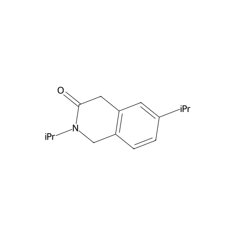 CC(C)c1ccc2c(c1)CC(=O)N(C(C)C)C2